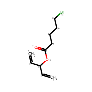 C=CC(C=C)OC(=O)CCCCBr